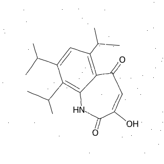 CC(C)c1cc(C(C)C)c2c(=O)cc(O)c(=O)[nH]c2c1C(C)C